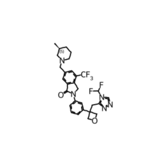 C[C@H]1CCCN(Cc2cc3c(c(C(F)(F)F)c2)CN(c2cccc(C4(Cc5nncn5C(F)F)COC4)c2)C3=O)C1